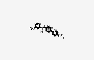 N#Cc1cccc(NCC23CCC(c4ccc(C(F)(F)F)cn4)(CC2)CC3)c1